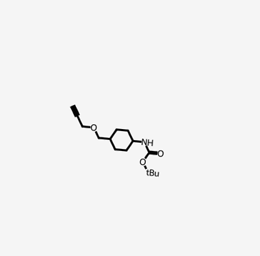 C#CCOCC1CCC(NC(=O)OC(C)(C)C)CC1